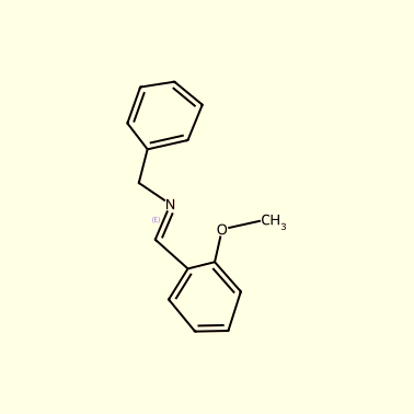 COc1ccccc1/C=N/Cc1ccccc1